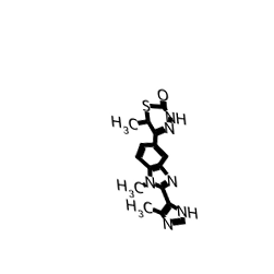 Cc1nc[nH]c1-c1nc2cc(C3=NNC(=O)SC3C)ccc2n1C